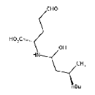 CCCC[C@H](C)CC(O)N[C@@H](CC[C]=O)C(=O)O